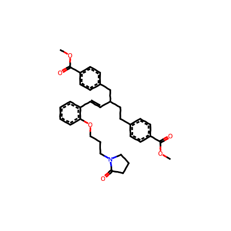 COC(=O)c1ccc(CCC(C=Cc2ccccc2OCCCN2CCCC2=O)Cc2ccc(C(=O)OC)cc2)cc1